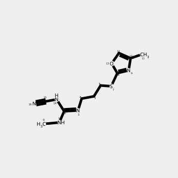 CNC(=NCCCSc1nc(C)co1)NC#N